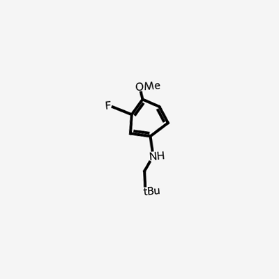 COc1ccc(NCC(C)(C)C)cc1F